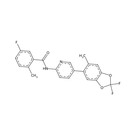 Cc1ccc(F)cc1C(=O)Nc1ccc(-c2cc3c(cc2C)OC(F)(F)O3)cn1